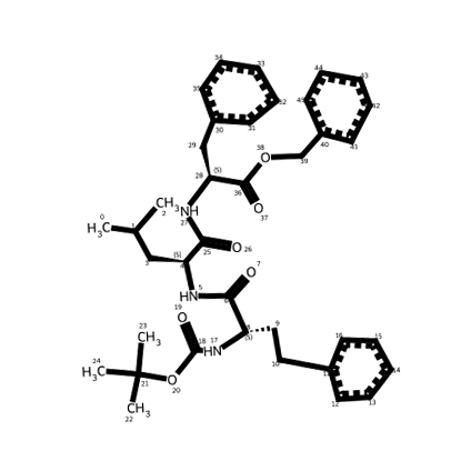 CC(C)C[C@H](NC(=O)[C@H](CCc1ccccc1)NC(=O)OC(C)(C)C)C(=O)N[C@@H](Cc1ccccc1)C(=O)OCc1ccccc1